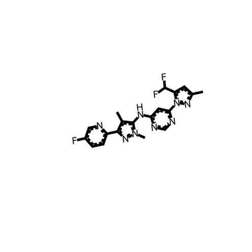 Cc1cc(C(F)F)n(-c2cc(Nc3c(C)c(-c4ccc(F)cn4)nn3C)ncn2)n1